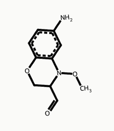 CON1c2cc(N)ccc2OCC1C=O